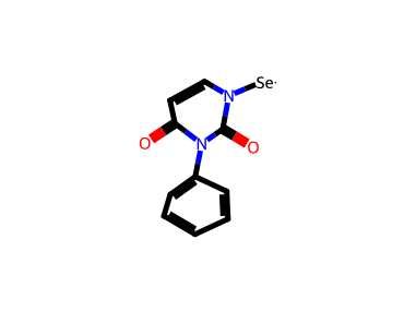 O=c1ccn([Se])c(=O)n1-c1ccccc1